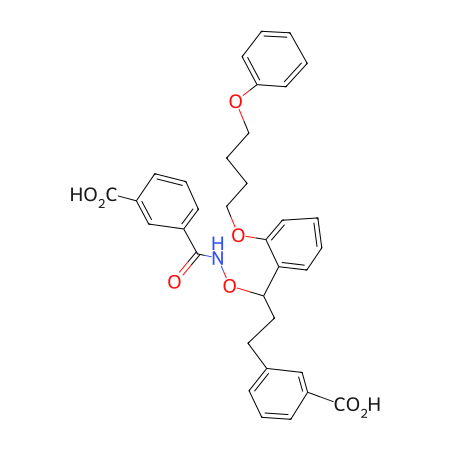 O=C(O)c1cccc(CCC(ONC(=O)c2cccc(C(=O)O)c2)c2ccccc2OCCCCOc2ccccc2)c1